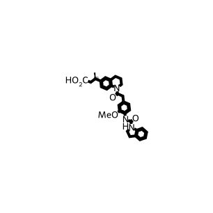 COc1cc(CC(=O)N2CCCc3cc([C@H](C)CC(=O)O)ccc32)ccc1NC(=O)N1CCc2ccccc21